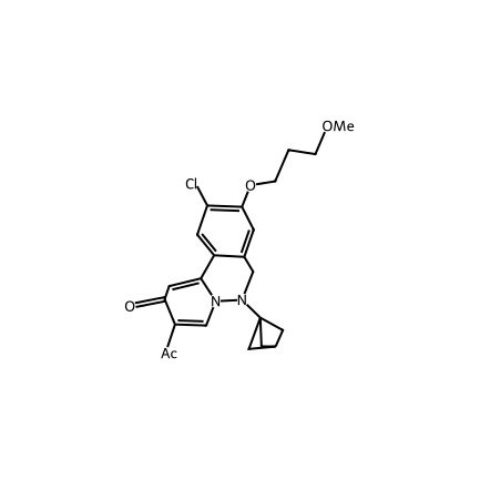 COCCCOc1cc2c(cc1Cl)-c1cc(=O)c(C(C)=O)cn1N(C13CC(C1)C3)C2